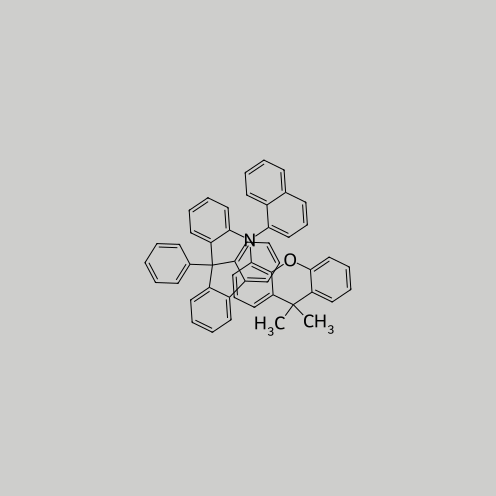 CC1(C)c2ccccc2Oc2c(N(c3ccccc3C3(c4ccccc4)c4ccccc4-c4ccccc43)c3cccc4ccccc34)cccc21